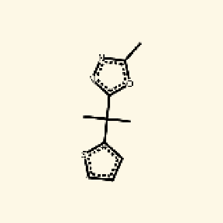 Cc1nnc(C(C)(C)c2cc[c]s2)o1